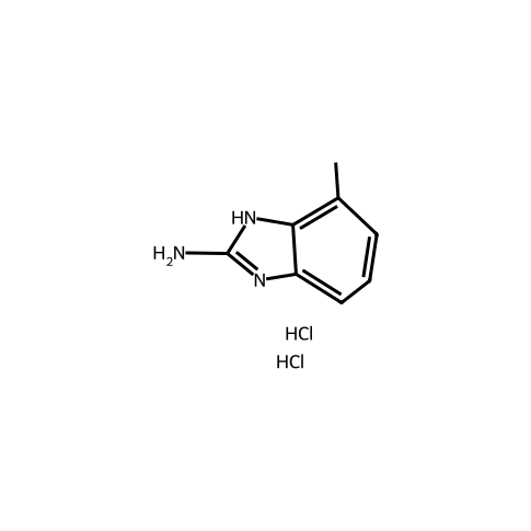 Cc1cccc2nc(N)[nH]c12.Cl.Cl